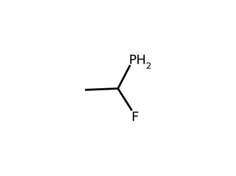 CC(F)P